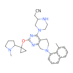 Cc1cccc2cccc(N3CCc4c(nc(OC5(C6CCCN6C)CC5)nc4N4CCNC(CC#N)C4)C3)c12